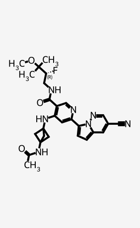 COC(C)(C)[C@H](F)CNC(=O)c1cnc(-c2ccc3cc(C#N)cnn23)cc1NC12CC(NC(C)=O)(C1)C2